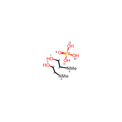 CNCCO.CNCCO.O=P(O)(O)O